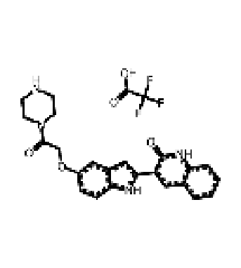 O=C(COc1ccc2[nH]c(-c3cc4ccccc4[nH]c3=O)cc2c1)N1CCNCC1.O=C(O)C(F)(F)F